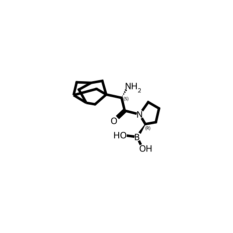 N[C@H](C(=O)N1CCC[C@H]1B(O)O)C12CC3CC(C1)C(C3)C2